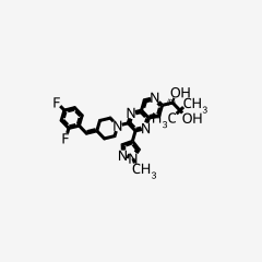 Cn1cc(-c2nc3cc([C@@H](O)C(C)(C)O)ncc3nc2N2CCC(=Cc3ccc(F)cc3F)CC2)cn1